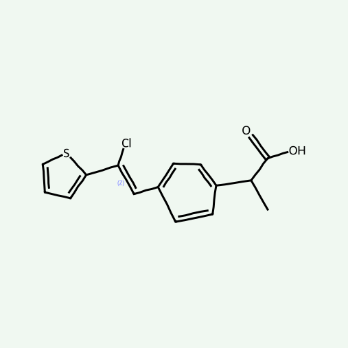 CC(C(=O)O)c1ccc(/C=C(\Cl)c2cccs2)cc1